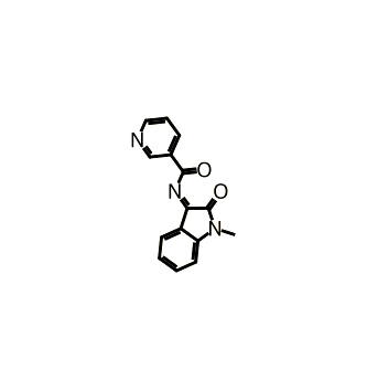 CN1C(=O)/C(=N\C(=O)c2cccnc2)c2ccccc21